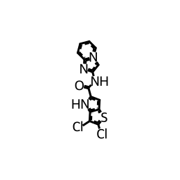 O=C(Nc1cn2ccccc2n1)c1cc2sc(Cl)c(Cl)c2[nH]1